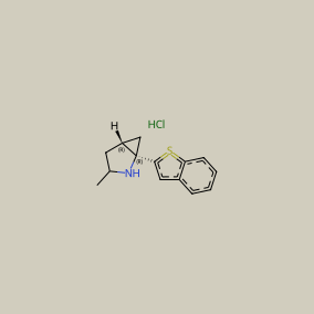 CC1C[C@@H]2C[C@@]2(c2cc3ccccc3s2)N1.Cl